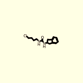 O=C(NCCCCCl)NC1Cc2ccccc2C1